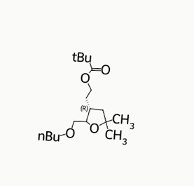 CCCCOCC1OC(C)(C)C[C@H]1CCOC(=O)C(C)(C)C